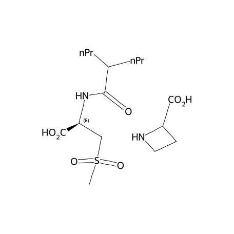 CCCC(CCC)C(=O)N[C@@H](CS(C)(=O)=O)C(=O)O.O=C(O)C1CCN1